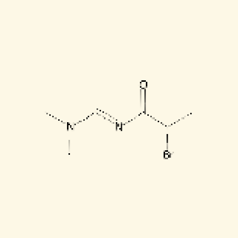 CC(Br)C(=O)N=CN(C)C